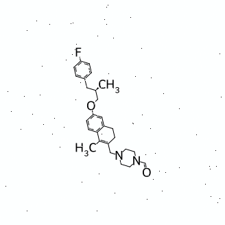 CC1=C(CN2CCN(C=O)CC2)CCc2cc(OC[C@H](C)Cc3ccc(F)cc3)ccc21